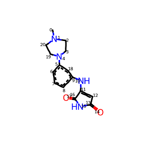 CN1CCN(c2cccc(NC3=CC(=O)NC3=O)c2)CC1